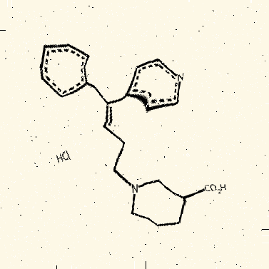 Cl.O=C(O)C1CCCN(CCC=C(c2ccccc2)c2ccncc2)C1